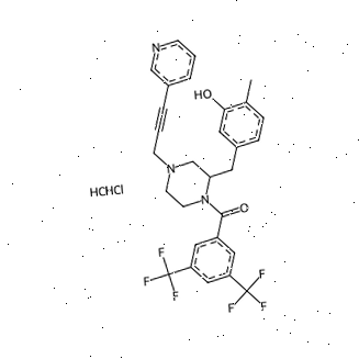 Cc1ccc(CC2CN(CC#Cc3cccnc3)CCN2C(=O)c2cc(C(F)(F)F)cc(C(F)(F)F)c2)cc1O.Cl.Cl